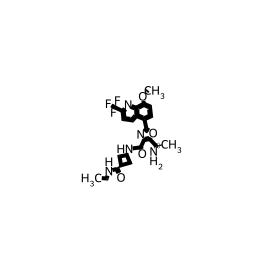 CCNC(=O)[C@H]1C[C@@H](NC(=O)c2nc(-c3ccc(OC)c4nc(C(F)(F)F)ccc34)oc2[C@H](C)N)C1